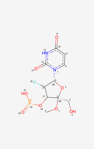 CO[C@]1(CO)O[C@@H](n2ccc(=O)[nH]c2=O)C(F)C1O[PH](=O)O